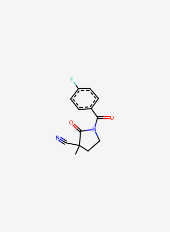 CC1(C#N)CCN(C(=O)c2ccc(F)cc2)C1=O